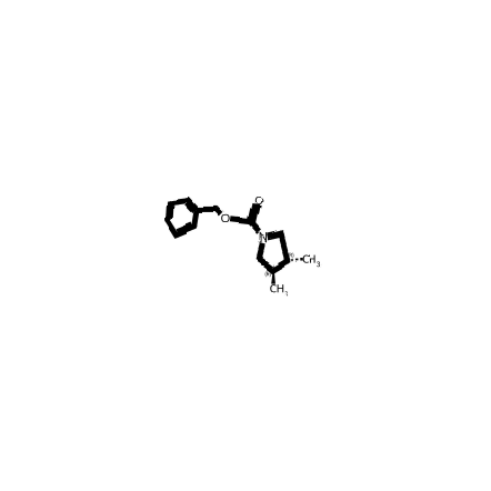 C[C@H]1CN(C(=O)OCc2ccccc2)C[C@@H]1C